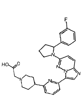 O=C(O)CN1CCC(c2cccc(-c3cnc4ccc(N5CCCC5c5cccc(F)c5)nn34)n2)CC1